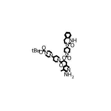 Cc1cc(CC(OC(=O)N2CCC(N3CCc4ccccc4NC3=O)CC2)C(=O)N2CCC(N3CCN(C(=O)OC(C)(C)C)CC3)CC2)cnc1N